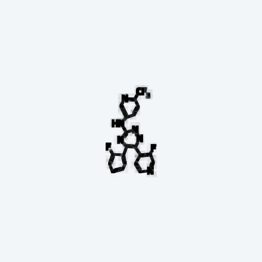 Fc1cnccc1-c1nnc(Nc2ccc(C(F)(F)F)nc2)nc1-c1ccccc1F